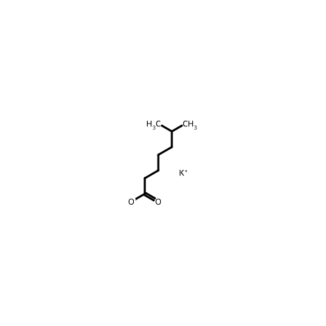 CC(C)CCCCC(=O)[O-].[K+]